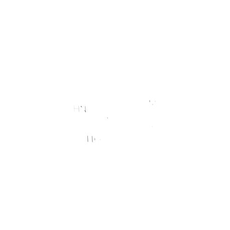 O=C1CCC=CC1C1(O)CCCCN1